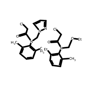 CCOCN(C(=O)CCl)c1c(C)cccc1CC.Cc1cccc(C)c1N(Cn1cccn1)C(=O)CCl